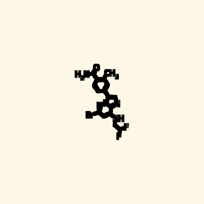 Cc1cc(-c2cnc3c(NCC(F)F)cc(Br)nn23)ccc1C(N)=O